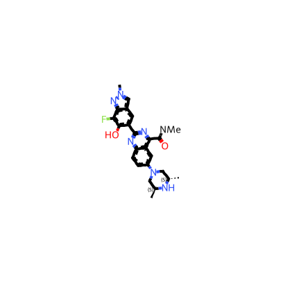 CNC(=O)c1nc(-c2cc3cn(C)nc3c(F)c2O)nc2ccc(N3C[C@H](C)N[C@@H](C)C3)cc12